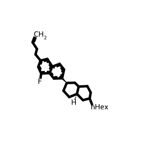 C=CCCc1cc(F)c2cc([C@@H]3CC[C@@H]4CC(CCCCCC)CCC4C3)ccc2c1